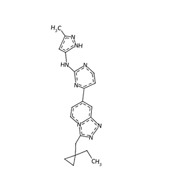 CCC1(Cc2nnc3cc(-c4ccnc(Nc5cc(C)n[nH]5)n4)ccn23)CC1